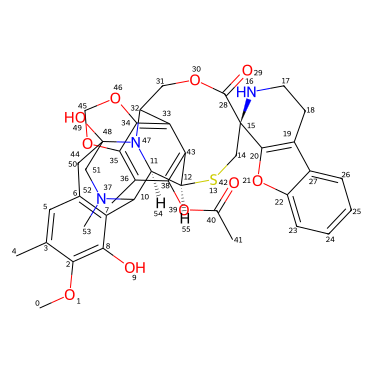 COc1c(C)cc2c(c1O)C1[C@@H]3[C@@H]4SC[C@]5(NCCc6c5oc5ccccc65)C(=O)OCC(c5c6c(c(C)c(OC(C)=O)c54)OCO6)N3C(O)(C2)CN1C